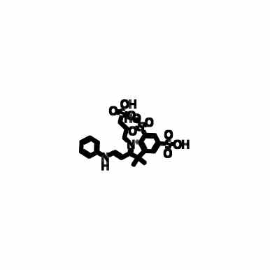 CC1(C)C(/C=C/Nc2ccccc2)=[N+](CCCS(=O)(=O)O)c2c1cc(S(=O)(=O)O)cc2S(=O)(=O)O